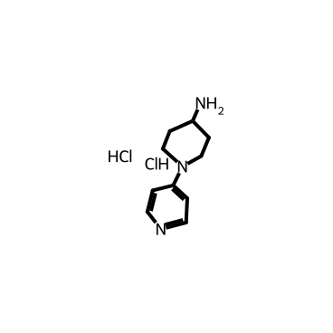 Cl.Cl.NC1CCN(c2ccncc2)CC1